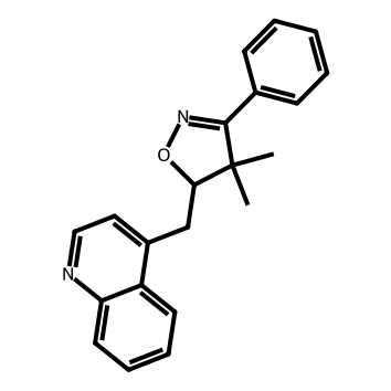 CC1(C)C(c2ccccc2)=NOC1Cc1ccnc2ccccc12